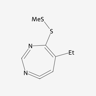 CCC1=C(SSC)N=CN=C=C1